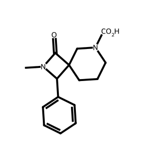 CN1C(=O)C2(CCCN(C(=O)O)C2)C1c1ccccc1